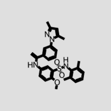 C=C(Nc1ccc(OC)c(S(=O)(=O)Nc2c(C)cccc2C)c1)c1cccc(-n2nc(C)cc2C)c1